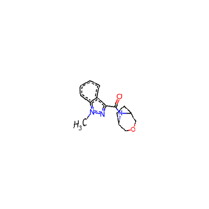 Cn1nc(C(=O)N2C3CCC2COC3)c2ccccc21